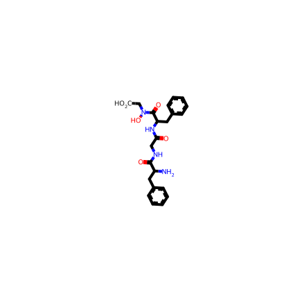 NC(Cc1ccccc1)C(=O)NCC(=O)NC(Cc1ccccc1)C(=O)N(O)CC(=O)O